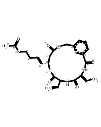 C=CC1NC(=O)/C(=C/C)NC(=O)c2cccc(n2)CNC(=O)C[C@@H](/C=C/CCSC(C)=O)OC1=O